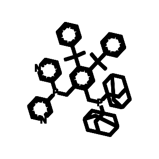 CC(C)(c1ccccc1)c1cc(CP(c2cccnc2)c2cccnc2)c(CP(C23CC4CC(CC(C4)C2)C3)C23CC4CC(CC(C4)C2)C3)cc1C(C)(C)c1ccccc1